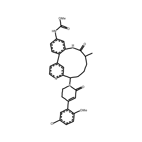 COC(=O)Nc1ccc2c(c1)NC(=O)C(C)CCCC(N1CCC(c3cc(Cl)ccc3OC)=CC1=O)c1cc-2ccn1